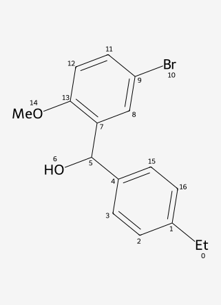 CCc1ccc(C(O)c2cc(Br)ccc2OC)cc1